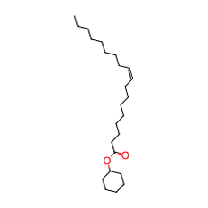 CCCCCCCC/C=C\CCCCCCCC(=O)OC1CCCCC1